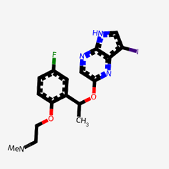 CNCCOc1ccc(F)cc1C(C)Oc1cnc2[nH]cc(I)c2n1